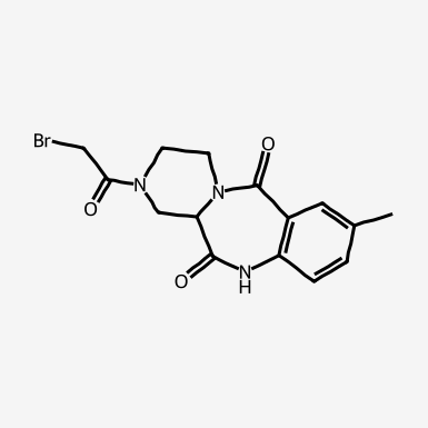 Cc1ccc2c(c1)C(=O)N1CCN(C(=O)CBr)CC1C(=O)N2